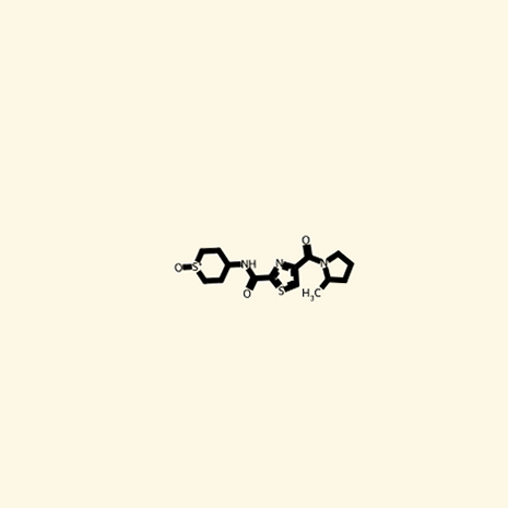 CC1CCCN1C(=O)c1csc(C(=O)NC2CC[S+]([O-])CC2)n1